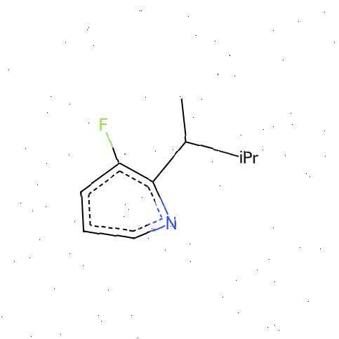 CC(C)C(C)c1ncccc1F